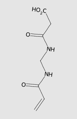 C=CC(=O)NCNC(=O)CC(=O)O